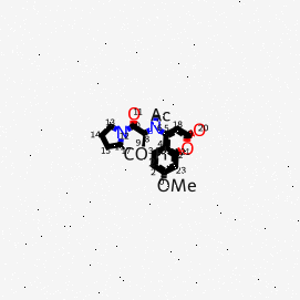 COc1ccc2c(N(C(C)=O)[C@@H](C)C(=O)N3CCC[C@H]3C(=O)O)cc(=O)oc2c1